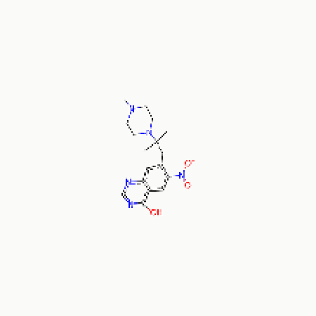 CN1CCN(C(C)(C)Cc2cc3ncnc(O)c3cc2[N+](=O)[O-])CC1